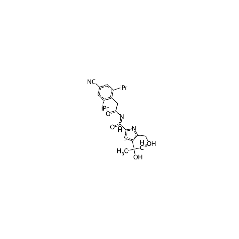 CC(C)c1cc(C#N)cc(C(C)C)c1CC(=O)/N=[SH](=O)/c1nc(CO)c(C(C)(C)O)s1